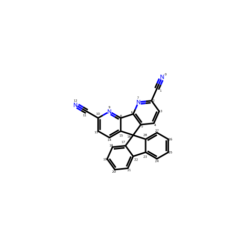 N#Cc1ccc2c(n1)-c1nc(C#N)ccc1C21c2ccccc2-c2ccccc21